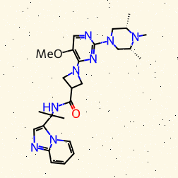 COc1cnc(N2C[C@@H](C)N(C)[C@@H](C)C2)nc1N1CC(C(=O)NC(C)(C)c2cnc3ccccn23)C1